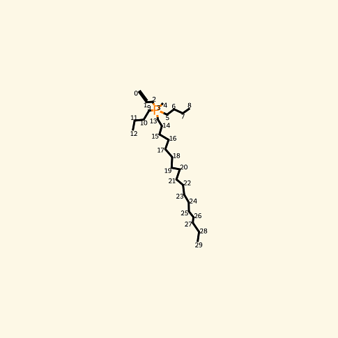 C=CCP(C)(CCCC)(CCCC)CCCCCCCCCCCCCCCCC